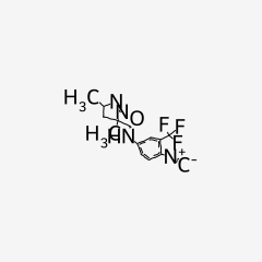 [C-]#[N+]c1ccc(NC(=O)C2(C)CC(C)N=N2)cc1C(F)(F)F